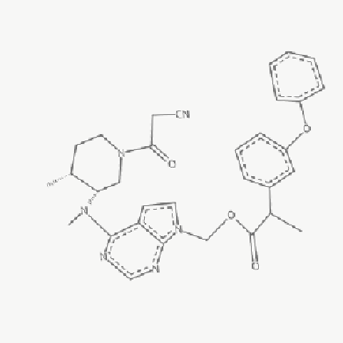 CC(C(=O)OCn1ccc2c(N(C)[C@H]3CN(C(=O)CC#N)CC[C@H]3C)ncnc21)c1cccc(Oc2ccccc2)c1